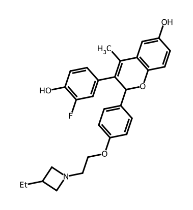 CCC1CN(CCOc2ccc(C3Oc4ccc(O)cc4C(C)=C3c3ccc(O)c(F)c3)cc2)C1